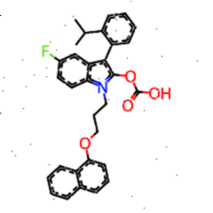 CC(C)c1ccccc1-c1c(OC(=O)O)n(CCCOc2cccc3ccccc23)c2ccc(F)cc12